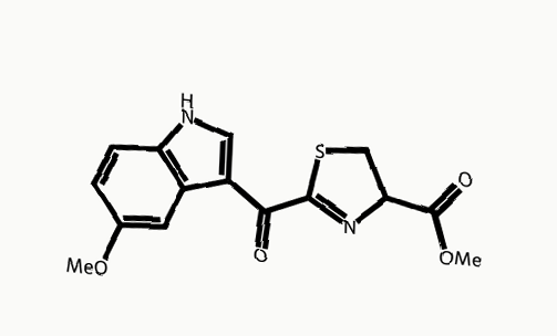 COC(=O)C1CSC(C(=O)c2c[nH]c3ccc(OC)cc23)=N1